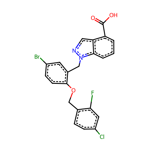 O=C(O)c1cccc2c1cnn2Cc1cc(Br)ccc1OCc1ccc(Cl)cc1F